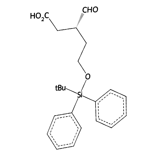 CC(C)(C)[Si](OCC[C@@H](C=O)CC(=O)O)(c1ccccc1)c1ccccc1